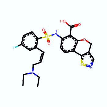 CCN(CC)C/C=C\c1cc(F)ccc1S(=O)(=O)Nc1ccc2c(c1C(=O)O)OCc1cnsc1-2